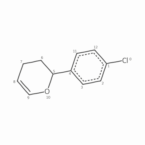 Clc1ccc(C2CCC=CO2)cc1